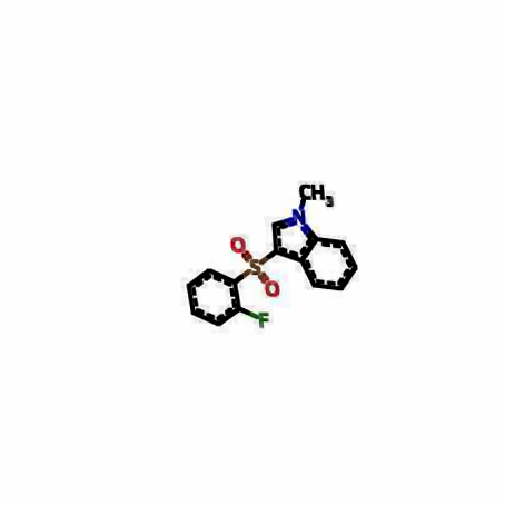 Cn1cc(S(=O)(=O)c2ccccc2F)c2ccccc21